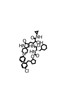 O=C(N[C@@H](CC1CCCCC1)C(=O)NC(CC1CC2(CCN(c3ccccc3)CC2)NC1=O)C(O)C(=O)NC1CC1)OC1CCCC1Cc1cccc(Cl)c1